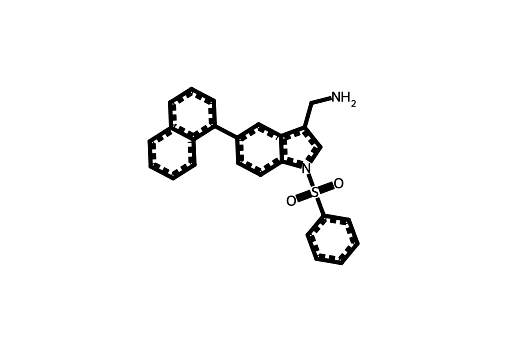 NCc1cn(S(=O)(=O)c2ccccc2)c2ccc(-c3cccc4ccccc34)cc12